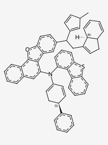 CC1C=CC(C(CC2=CCC3C=CC=C[C@H]23)c2ccc3oc4c5ccccc5cc(N(C5=CC[C@H](c6ccccc6)C=C5)c5cccc6sc7ccccc7c56)c4c3c2)=C1